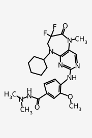 COc1cc(C(=O)NN(C)C)ccc1Nc1ncc2c(n1)N(C1CCCCC1)CC(F)(F)C(=O)N2C